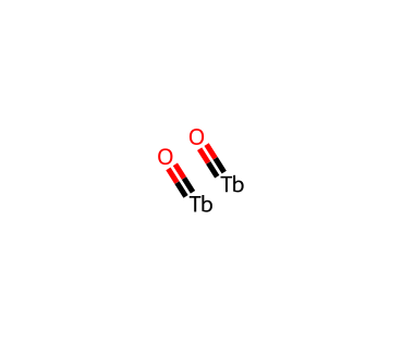 [O]=[Tb].[O]=[Tb]